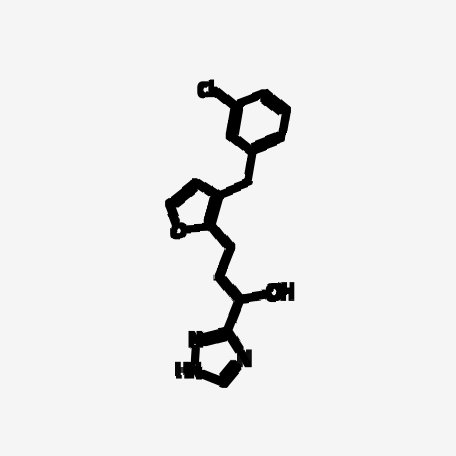 OC(CCc1occc1Cc1cccc(Cl)c1)c1nc[nH]n1